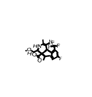 COCC1NC(C)=C(C#N)C(c2ccc(F)cc2C(F)(F)F)C1(C(=O)O)C(C)C